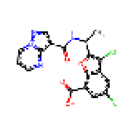 CC(NC(=O)c1cnn2cccnc12)c1oc2c(C(=O)O)cc(Cl)cc2c1Cl